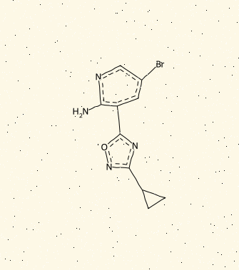 Nc1ncc(Br)cc1-c1nc(C2CC2)no1